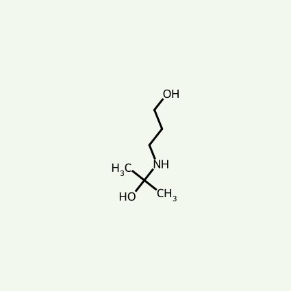 CC(C)(O)NCCCO